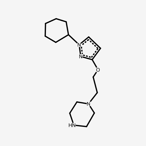 c1cn(C2CCCCC2)nc1OCCN1CCNCC1